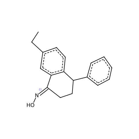 CCc1ccc2c(c1)/C(=N/O)CCC2c1ccccc1